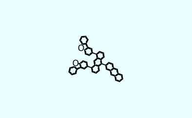 c1ccc2cc3cc(-c4c5cccc(-c6ccc7oc8ccccc8c7c6)c5cc5c(-c6ccc7oc8ccccc8c7c6)cccc45)ccc3cc2c1